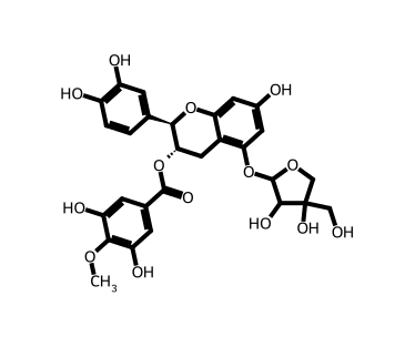 COc1c(O)cc(C(=O)O[C@H]2Cc3c(OC4OCC(O)(CO)C4O)cc(O)cc3O[C@@H]2c2ccc(O)c(O)c2)cc1O